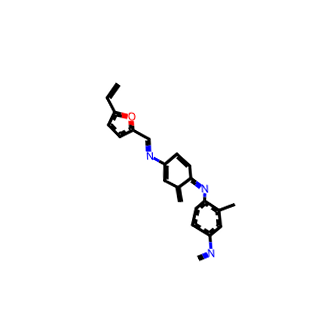 C=Cc1ccc(C=NC2=CC(=C)/C(=N\c3ccc(N=C)cc3C)C=C2)o1